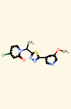 COc1cncc(-c2nnc(C(C)n3ccc(Cl)cc3=O)s2)c1